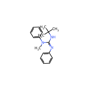 CN(/C(=N\c1ccccc1)NC(C)(C)C)c1ccccc1